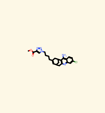 COC(=O)c1cn(CCCCC2=CC3Cc4nc5cc(Cl)ccc5c(N)c4C(C2)C3)nn1